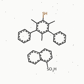 Cc1c(S)c(C)c(-c2ccccc2)c(C)c1-c1ccccc1.O=S(=O)(O)c1cccc2ccccc12